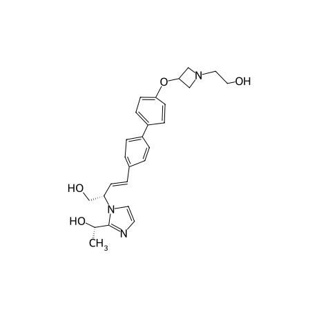 C[C@H](O)c1nccn1[C@@H](/C=C/c1ccc(-c2ccc(OC3CN(CCO)C3)cc2)cc1)CO